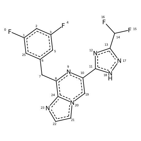 Fc1cc(F)cc(Cc2nc(-c3nc(C(F)F)n[nH]3)cn3ccnc23)c1